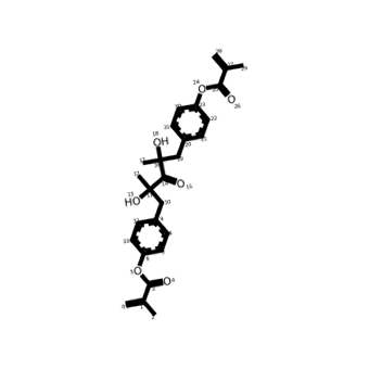 C=C(C)C(=O)Oc1ccc(CC(C)(O)C(=O)C(C)(O)Cc2ccc(OC(=O)C(=C)C)cc2)cc1